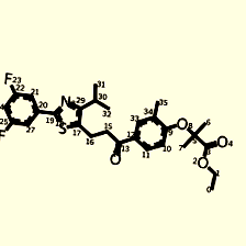 CCOC(=O)C(C)(C)Oc1ccc(C(=O)CCc2sc(-c3cc(F)cc(F)c3)nc2C(C)C)cc1C